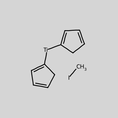 C1=CC[C]([Ti][C]2=CC=CC2)=C1.CI